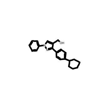 OCc1cn(-c2ccccc2)nc1-c1ccc(C2CCCCC2)cc1